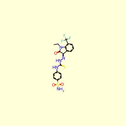 CCN1C(=O)C(=NNC(=S)Nc2ccc(S(N)(=O)=O)cc2)c2cccc(C(F)(F)F)c21